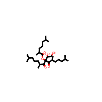 CC(C)CCCC(C)C(=O)OC(C(=O)C(C)CCCC(C)C)(C(=O)C(C)CCCC(C)C)C(O)CO